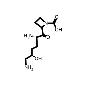 NC[C@H](O)CC[C@H](N)C(=O)C1CCN1C(=O)O